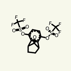 O=C1C2CCC1c1c(OS(=O)(=O)C(F)(F)F)ccc(OS(=O)(=O)C(F)(F)F)c12